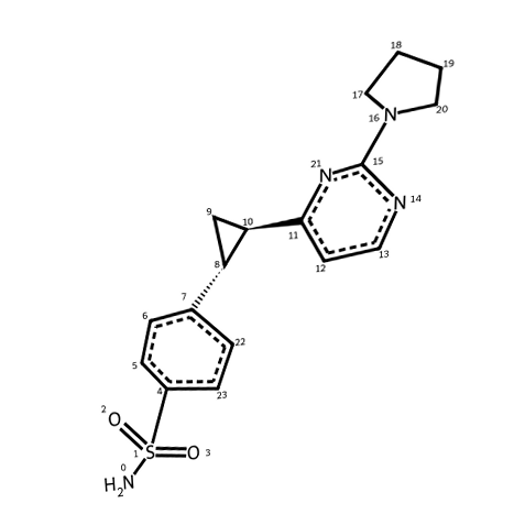 NS(=O)(=O)c1ccc([C@@H]2C[C@H]2c2ccnc(N3CCCC3)n2)cc1